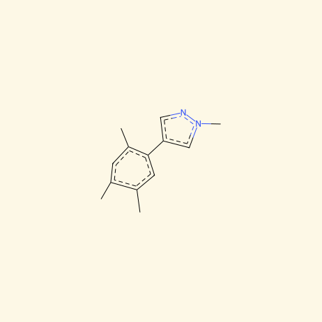 Cc1cc(C)c(-c2cnn(C)c2)cc1C